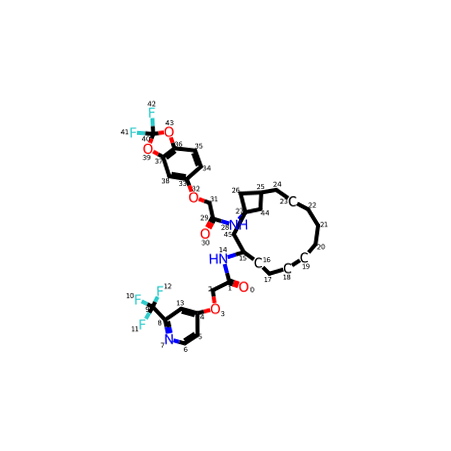 O=C(COc1ccnc(C(F)(F)F)c1)NC1CCCCCCCCCC2CC(NC(=O)COc3ccc4c(c3)OC(F)(F)O4)(C2)C1